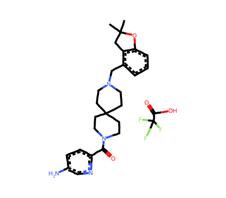 CC1(C)Cc2c(CN3CCC4(CC3)CCN(C(=O)c3ccc(N)cn3)CC4)cccc2O1.O=C(O)C(F)(F)F